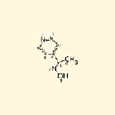 C/C(=N\O)c1ccnnc1